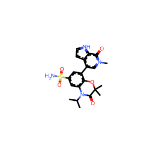 CC(C)N1C(=O)C(C)(C)Oc2c(-c3cn(C)c(=O)c4[nH]ccc34)cc(S(N)(=O)=O)cc21